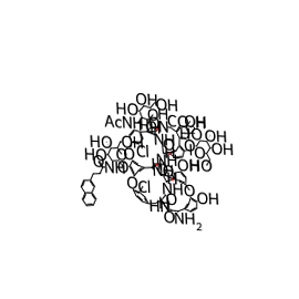 CC(=O)N[C@H]1C(O)[C@H](O)C(CO)O[C@H]1O[C@@H]1c2ccc(c(Cl)c2)Oc2cc3cc(c2O[C@@H]2OC(CO)[C@@H](O)[C@H](O)C2NC(=O)CCc2ccc4ccccc4c2)Oc2ccc(cc2Cl)C[C@H]2NC(=O)[C@H](N)c4ccc(O)c(c4)Oc4cc(O)cc(c4)[C@H](NC2=O)C(=O)N[C@H]3C(=O)N[C@H]2C(=O)N[C@@H]1C(=O)N[C@H](C(=O)O)c1cc(O)cc(O[C@H]3OC(CO)[C@@H](O)[C@@H](O)C3O)c1-c1cc2ccc1I